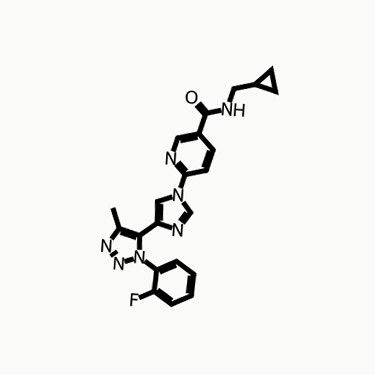 Cc1nnn(-c2ccccc2F)c1-c1cn(-c2ccc(C(=O)NCC3CC3)cn2)cn1